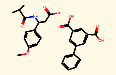 COc1ccc(C(CC(=O)O)NC(=O)C(C)C)cc1.O=C(O)c1cc(C(=O)O)cc(-c2ccccc2)c1